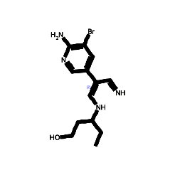 CCC(CCO)N/C=C(\C=N)c1cnc(N)c(Br)c1